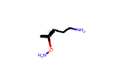 C/C(=C/CCN)ON